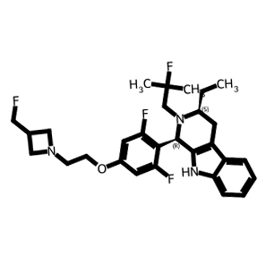 CC[C@H]1Cc2c([nH]c3ccccc23)[C@@H](c2c(F)cc(OCCN3CC(CF)C3)cc2F)N1CC(C)(C)F